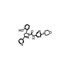 O=C(Nc1ccc(N2CCOCC2)nc1)N1N=C(c2cccnc2)CC1c1ccccc1O